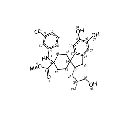 COC(=O)C1(Nc2cccc(Cl)c2)CCC2(CC1)c1cc(O)c(O)cc1C[C@@H]2C[C@@H](C)CO